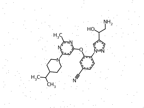 Cc1nc(Oc2cc(C#N)ccc2-n2cc(C(O)CN)cn2)cc(N2CCC(C(C)C)CC2)n1